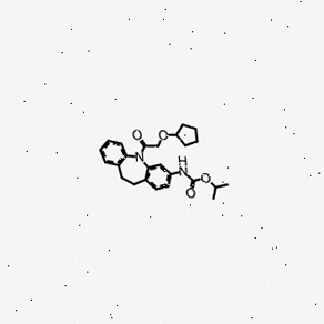 CC(C)OC(=O)Nc1ccc2c(c1)N(C(=O)COC1CCCC1)c1ccccc1CC2